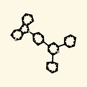 c1ccc(-c2cc(-c3ccc(-n4c5ccccc5c5ccncc54)cc3)cc(-c3ccccc3)n2)cc1